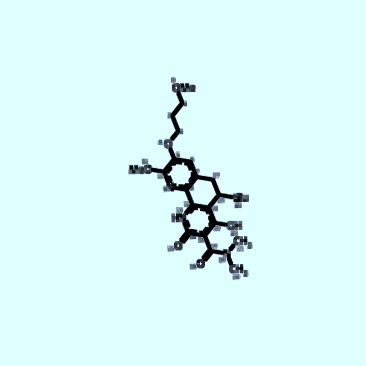 COCCCOc1cc2c(nc1OC)-c1[nH]c(=O)c(C(=O)N(C)C)c(O)c1C(C(C)(C)C)C2